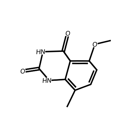 COc1ccc(C)c2[nH]c(=O)[nH]c(=O)c12